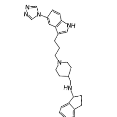 c1ccc2c(c1)CCC2NCC1CCN(CCCc2c[nH]c3ccc(-n4cnnc4)cc23)CC1